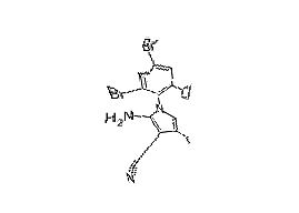 Cc1cn(-c2c(Cl)cc(Br)cc2Br)c(N)c1C#N